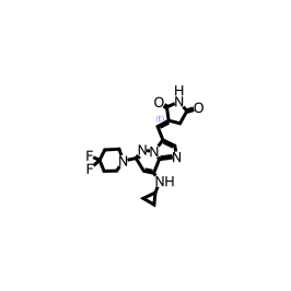 O=C1C/C(=C\c2cnc3c(NC4CC4)cc(N4CCC(F)(F)CC4)nn23)C(=O)N1